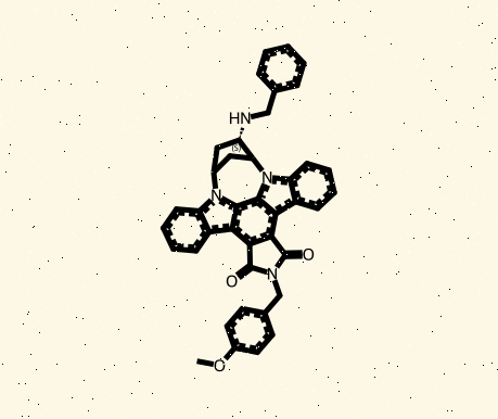 COc1ccc(CN2C(=O)c3c(c4c5ccccc5n5c4c4c3c3ccccc3n4C3CC5[C@@H](NCc4ccccc4)C3)C2=O)cc1